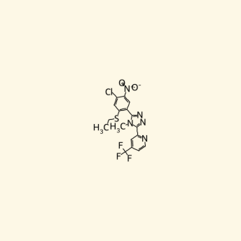 CCSc1cc(Cl)c([N+](=O)[O-])cc1-c1nnc(-c2cc(C(F)(F)F)ccn2)n1C